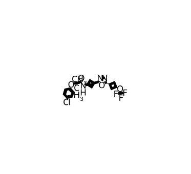 CC(C)(Oc1ccc(Cl)cc1)C(=O)NC12CC(c3nnc([C@H]4C[C@@H](OC(F)(F)F)C4)o3)(C1)C2